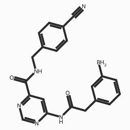 Bc1cccc(CC(=O)Nc2cc(C(=O)NCc3ccc(C#N)cc3)ncn2)c1